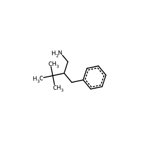 CC(C)(C)C(CN)Cc1ccccc1